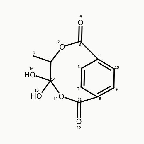 CC1OC(=O)c2ccc(cc2)C(=O)OC1(O)O